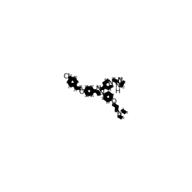 CCN(CC)CCCOc1ccc(-n2cc(-c3ccc(OCCc4ccc(Cl)cc4)cc3)nc2C2CCN(Cc3ncc[nH]3)CC2)cc1